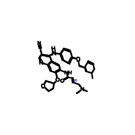 CC1C=C(COc2ccc(Nc3c(C#N)cnc4cc(OC5CCOC5)c(NC(=O)/C=C/CN(C)C)cc34)cc2)C=CC1